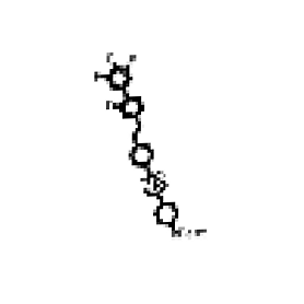 CCCCCC1CCC(C23COC(C4CCC(CCc5ccc(-c6cc(F)c(F)c(F)c6)c(F)c5)CC4)(OC2)OC3)CC1